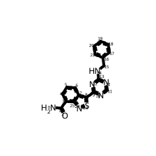 NC(=O)c1cccc2c(-c3ncnc(NCc4ccccc4)n3)snc12